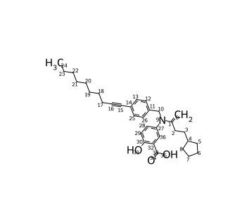 C=C(CCC1CCCC1)N(Cc1ccc(C#CCCCCCCCC)cc1)c1ccc(O)c(C(=O)O)c1